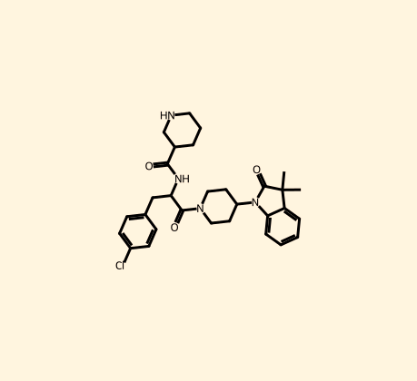 CC1(C)C(=O)N(C2CCN(C(=O)C(Cc3ccc(Cl)cc3)NC(=O)C3CCCNC3)CC2)c2ccccc21